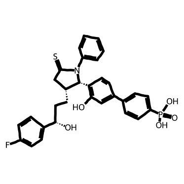 O=P(O)(O)c1ccc(-c2ccc([C@@H]3[C@H](CC[C@H](O)c4ccc(F)cc4)CC(=S)N3c3ccccc3)c(O)c2)cc1